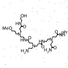 CCCNC(=O)CCN(CCNC(=O)CCN(CCN)CCC(=O)NCCN(CCCOC)CCC(=O)NCCO)CCC(N)=O